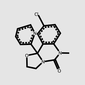 CN1C(=O)N2CCOC2(c2ccccn2)c2cc(Cl)ccc21